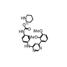 COc1cccc(-c2cc(Nc3ccc(NC(=O)O[C@H]4CCCCN4)cc3)ncn2)c1OC